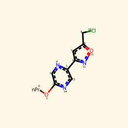 CCCOc1cnc(-c2cc(CCl)on2)cn1